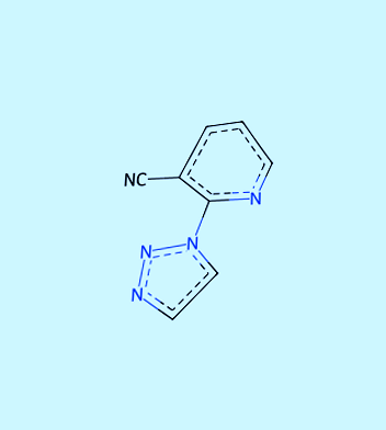 N#Cc1cccnc1-n1ccnn1